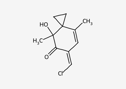 CC1=CC(=CCl)C(=O)C(C)(O)C12CC2